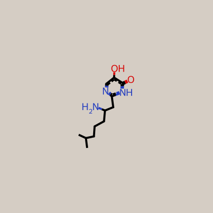 CC(C)CCCC(N)Cc1ncc(O)c(=O)[nH]1